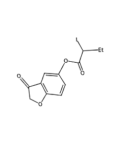 CCC(I)C(=O)Oc1ccc2c(c1)C(=O)CO2